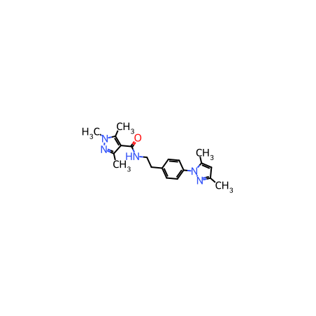 Cc1cc(C)n(-c2ccc(CCNC(=O)c3c(C)nn(C)c3C)cc2)n1